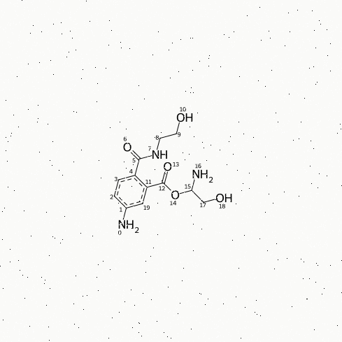 Nc1ccc(C(=O)NCCO)c(C(=O)OC(N)CO)c1